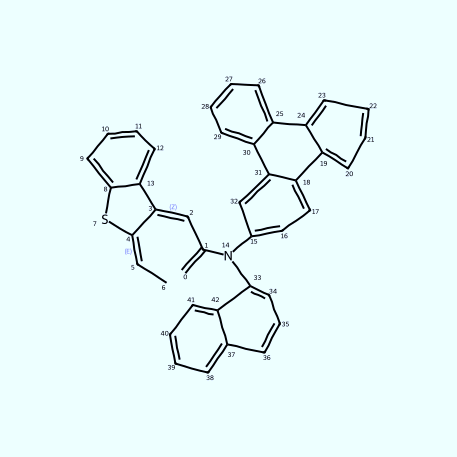 C=C(/C=c1\c(=C/C)sc2ccccc12)N(c1ccc2c3ccccc3c3ccccc3c2c1)c1cccc2ccccc12